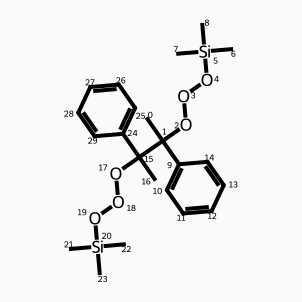 CC(OOO[Si](C)(C)C)(c1ccccc1)C(C)(OOO[Si](C)(C)C)c1ccccc1